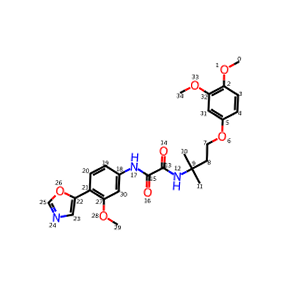 COc1ccc(OCCC(C)(C)NC(=O)C(=O)Nc2ccc(-c3cnco3)c(OC)c2)cc1OC